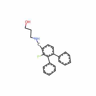 OCCCNCc1ccc(-c2ccccc2)c(-c2ccccc2)c1F